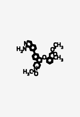 CCOC(=O)Cc1c(C)cccc1OC1CC2(CCN(C(C)=O)CC2)c2ccc(-c3ccc4ccnc(N)c4c3)cc21